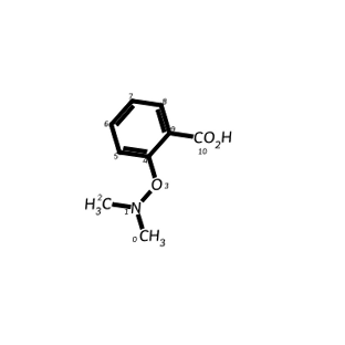 CN(C)Oc1ccccc1C(=O)O